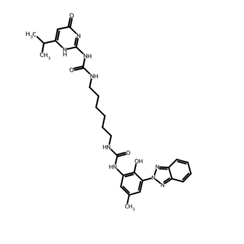 Cc1cc(NC(=O)NCCCCCCNC(=O)Nc2nc(=O)cc(C(C)C)[nH]2)c(O)c(-n2nc3ccccc3n2)c1